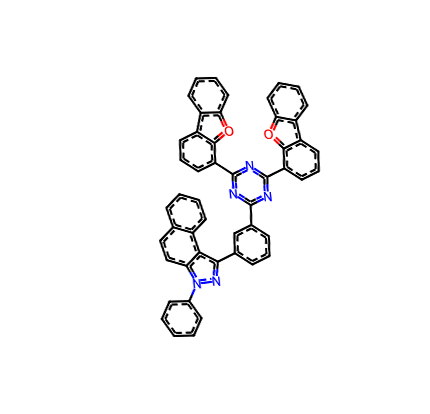 c1ccc(-n2nc(-c3cccc(-c4nc(-c5cccc6c5oc5ccccc56)nc(-c5cccc6c5oc5ccccc56)n4)c3)c3c4ccccc4ccc32)cc1